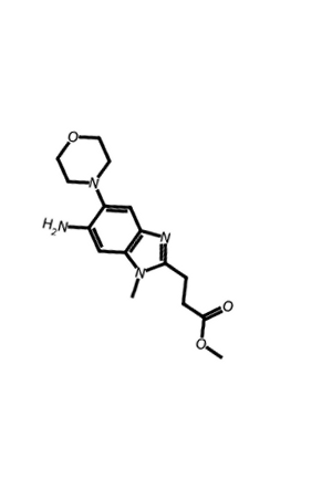 COC(=O)CCc1nc2cc(N3CCOCC3)c(N)cc2n1C